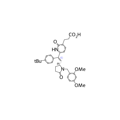 COc1ccc(CN2C(=O)CC[C@@H]2/C=C(\c2ccc(C(C)(C)C)cc2)c2ccc(CCC(=O)O)c(=O)[nH]2)c(OC)c1